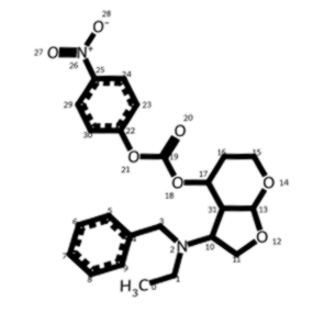 CCN(Cc1ccccc1)C1COC2OCCC(OC(=O)Oc3ccc([N+](=O)[O-])cc3)C21